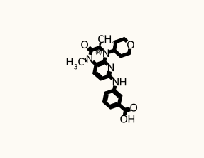 C[C@@H]1C(=O)N(C)c2ccc(Nc3cccc(C(=O)O)c3)nc2N1C1CCOCC1